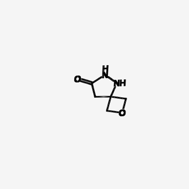 O=C1CC2(COC2)NN1